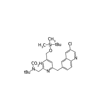 CC(C)(C)N(Cc1cc(CO[Si](C)(C)C(C)(C)C)cc(Cc2ccc3ncc(Cl)cc3c2)n1)C(=O)O